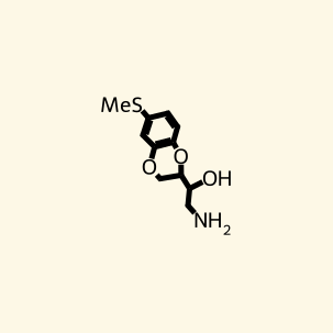 CSc1ccc2c(c1)OCC(C(O)CN)O2